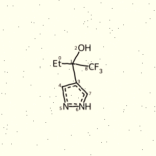 CCC(O)(c1cn[nH]c1)C(F)(F)F